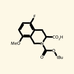 COc1ccc(F)c2c1CN(C(=O)OC(C)(C)C)C(C(=O)O)C2